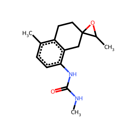 CNC(=O)Nc1ccc(C)c2c1CC1(CC2)OC1C